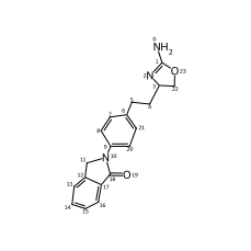 NC1=NC(CCc2ccc(N3Cc4ccccc4C3=O)cc2)CO1